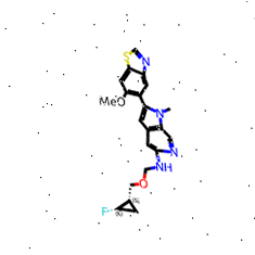 COc1cc2scnc2cc1-c1cc2cc(NCOC[C@@H]3C[C@@H]3F)ncc2n1C